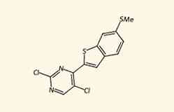 CSc1ccc2cc(-c3nc(Cl)ncc3Cl)sc2c1